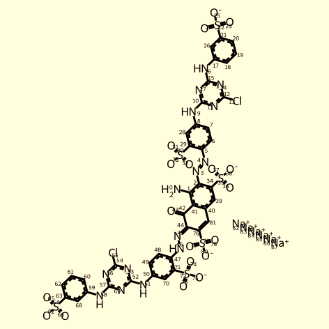 Nc1c(N=Nc2ccc(Nc3nc(Cl)nc(Nc4cccc(S(=O)(=O)[O-])c4)n3)cc2S(=O)(=O)[O-])c(S(=O)(=O)[O-])cc2c1C(=O)/C(=N/Nc1ccc(Nc3nc(Cl)nc(Nc4cccc(S(=O)(=O)[O-])c4)n3)cc1S(=O)(=O)[O-])C(S(=O)(=O)[O-])=C2.[Na+].[Na+].[Na+].[Na+].[Na+].[Na+]